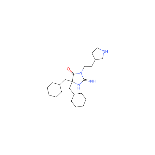 N=C1NC(CC2CCCCC2)(CC2CCCCC2)C(=O)N1CCC1CCNC1